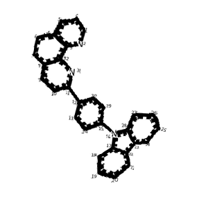 c1cnc2c(c1)ccc1ccc(-c3ccc(-n4c5ccccc5c5ccccc54)cc3)nc12